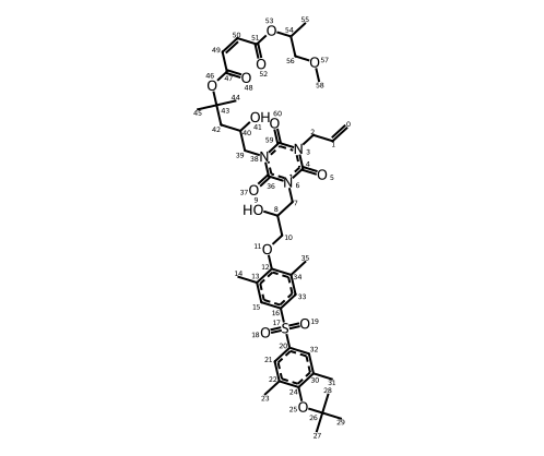 C=CCn1c(=O)n(CC(O)COc2c(C)cc(S(=O)(=O)c3cc(C)c(OC(C)(C)C)c(C)c3)cc2C)c(=O)n(CC(O)CC(C)(C)OC(=O)/C=C\C(=O)OC(C)COC)c1=O